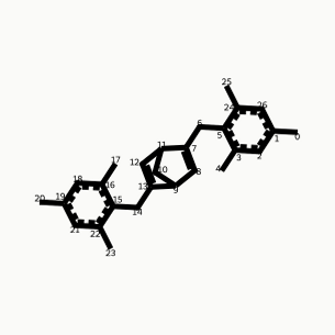 Cc1cc(C)c(CC2=CC3CC2C=C3Cc2c(C)cc(C)cc2C)c(C)c1